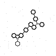 c1ccc(-c2ccc(N(c3ccccc3)c3cccc4c(-c5ccc(-c6ccc7c(c6)c6ccccc6n7C6CCCCC6)cc5)cccc34)cc2)cc1